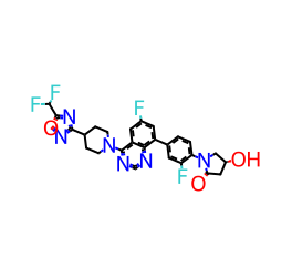 O=C1C[C@H](O)CN1c1ccc(-c2cc(F)cc3c(N4CCC(c5noc(C(F)F)n5)CC4)ncnc23)cc1F